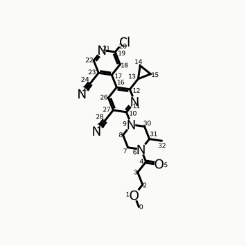 COCCC(=O)N1CCN(c2nc(C3CC3)c(-c3cc(Cl)ncc3C#N)cc2C#N)CC1C